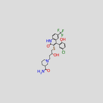 NC(=O)C1CCCN(CCC(O)CSc2c(-c3cc(Cl)ccc3O)c3cc(C(F)(F)F)ccc3[nH]c2=O)C1